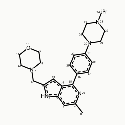 Cc1cc2[nH]c(CN3CCOCC3)cc2c(-c2ccc(N3CCN(C(C)C)CC3)cc2)n1